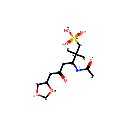 CC(=O)NC(CC(=O)CC1COCO1)C(C)(C)CS(=O)(=O)O